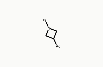 CCN1CC(C(C)=O)C1